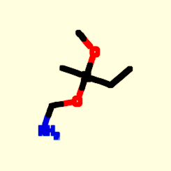 CC[Si](C)(OC)OCN